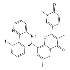 Cc1cc([C@@H](C)Nc2cccnc2-c2ccccc2F)c2oc(-c3ccc(=O)n(C)c3)c(C)c(=O)c2c1